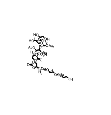 C=C.CC(=O)O.CC(=O)O.CC1COC(=O)O1.CCCCC(CC)COC(C)=O.CCCCOCCO.COCOCCO.O=C1OCCO1.OCCO.OCCO